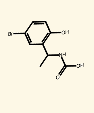 CC(NC(=O)O)c1cc(Br)ccc1O